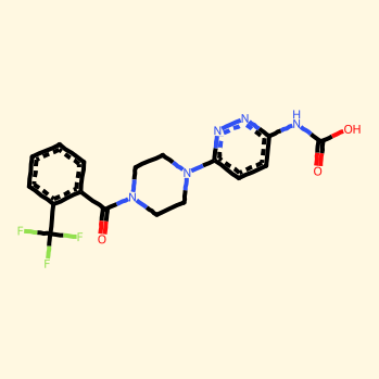 O=C(O)Nc1ccc(N2CCN(C(=O)c3ccccc3C(F)(F)F)CC2)nn1